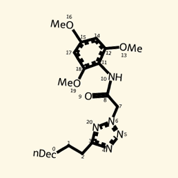 CCCCCCCCCCCCc1nnn(CC(=O)Nc2c(OC)cc(OC)cc2OC)n1